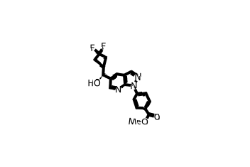 COC(=O)c1ccc(-n2ncc3cc([C@H](O)C4CC(F)(F)C4)cnc32)cc1